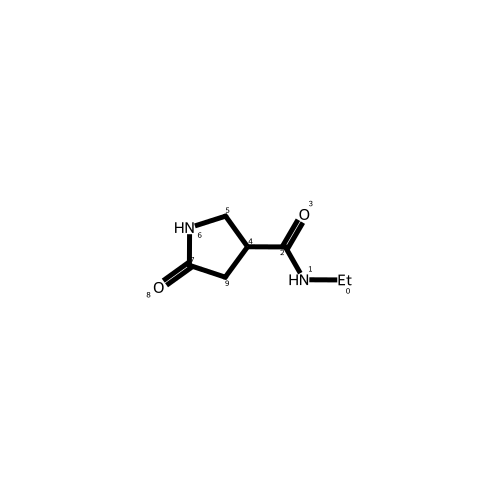 CCNC(=O)C1CNC(=O)C1